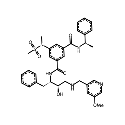 COc1cncc(CNC[C@@H](O)[C@H](Cc2ccccc2)NC(=O)c2cc(C(=O)N[C@H](C)c3ccccc3)cc(N(C)S(C)(=O)=O)c2)c1